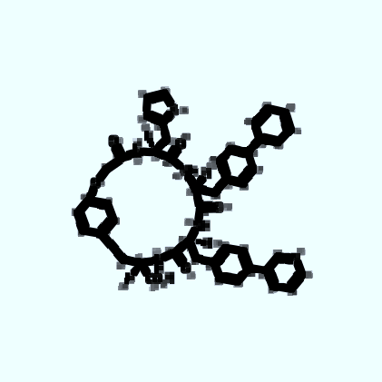 O=C1COc2ccc(cc2)C[C@@H](C(=O)O)NC(=O)[C@H](Cc2ccc(-c3cccnc3)cc2)NC(=O)[C@@H](Cc2ccc(-c3ccccc3)cc2)NC(=O)[C@H](Cc2cccs2)N1